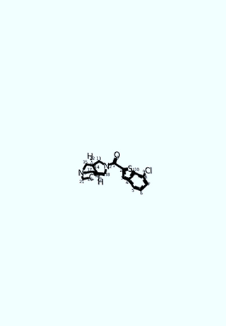 O=C(c1cc2cccc(Cl)c2s1)N1C[C@@H]2CN3C=C1[C@H]2CC3